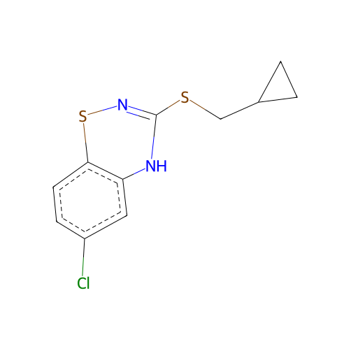 Clc1ccc2c(c1)NC(SCC1CC1)=NS2